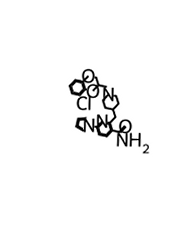 NC(=O)c1ccc(-n2cccc2)nc1CC1CCN(CC2COc3cccc(Cl)c3O2)CC1